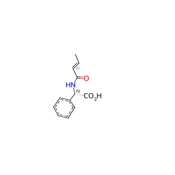 C/C=C/C(=O)N[C@H](C(=O)O)c1ccccc1